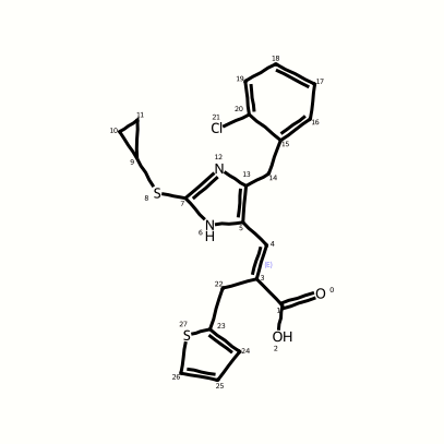 O=C(O)/C(=C/c1[nH]c(SC2CC2)nc1Cc1ccccc1Cl)Cc1cccs1